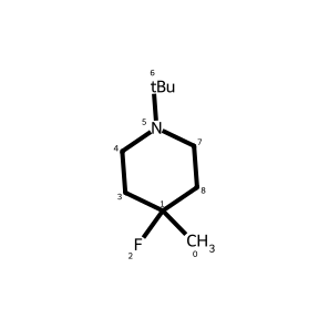 CC1(F)CCN(C(C)(C)C)CC1